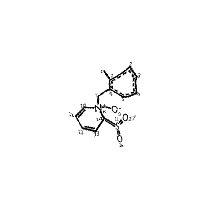 Cc1ccccc1C[N+]1([O-])C=CC=CC1=S(=O)=O